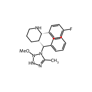 CON1NN=C(C)N1[C](c1ccccc1)[C@@H]1CCCN[C@@H]1c1ccc(F)cc1